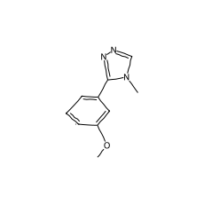 COc1[c]ccc(-c2nncn2C)c1